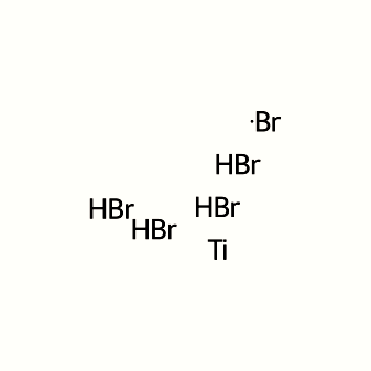 Br.Br.Br.Br.[Br].[Ti]